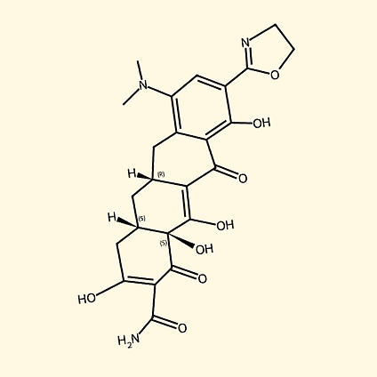 CN(C)c1cc(C2=NCCO2)c(O)c2c1C[C@H]1C[C@H]3CC(O)=C(C(N)=O)C(=O)[C@@]3(O)C(O)=C1C2=O